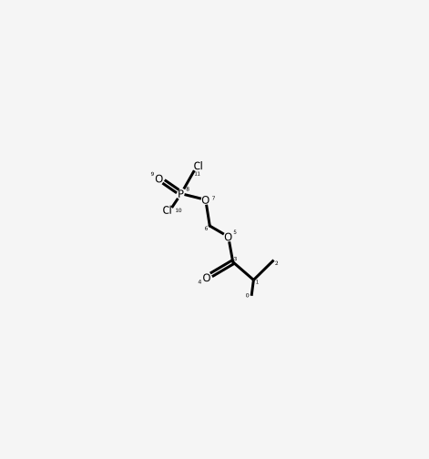 CC(C)C(=O)OCOP(=O)(Cl)Cl